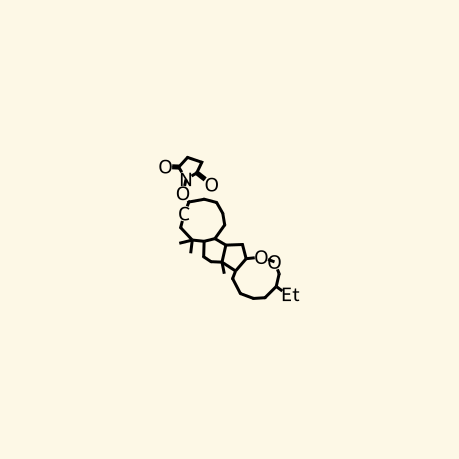 CCC1CCCCC2C(CC3C4CCCCC(ON5C(=O)CCC5=O)CCC(C)(C)C4CCC23C)OOC1